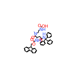 CN(CCNC(=O)O)C(=O)C(CC(=O)NC(c1ccccc1)(c1ccccc1)c1ccccc1)NC(=O)OCC1c2ccccc2-c2ccccc21